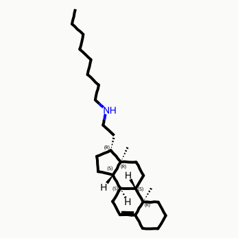 CCCCCCCCNCC[C@H]1CC[C@H]2[C@@H]3CC=C4CCCC[C@]4(C)[C@H]3CC[C@]12C